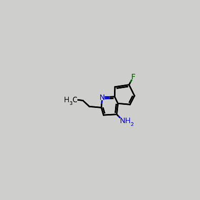 CCCc1cc(N)c2ccc(F)cc2n1